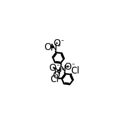 O=[N+]([O-])c1ccc([N+]([O-])(c2c(Cl)cccc2Cl)[N+](=O)[O-])cc1